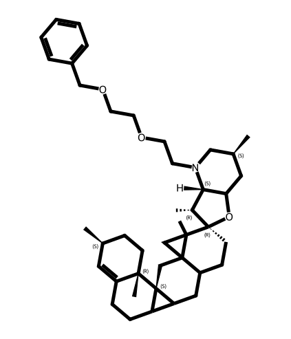 C[C@H]1CC2O[C@]3(CCC4CC5C6CCC7=C[C@@H](C)CC[C@]7(C)[C@@]65CC45CC53C)[C@H](C)[C@@H]2N(CCOCCOCc2ccccc2)C1